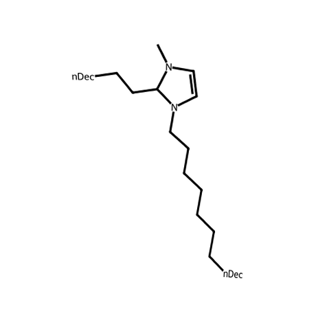 CCCCCCCCCCCCCCCCCN1C=CN(C)C1CCCCCCCCCCCC